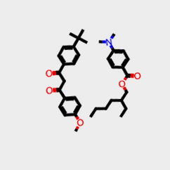 CCCCC(CC)COC(=O)c1ccc(N(C)C)cc1.COc1ccc(C(=O)CC(=O)c2ccc(C(C)(C)C)cc2)cc1